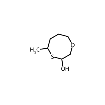 CC1CCCOCC(O)S1